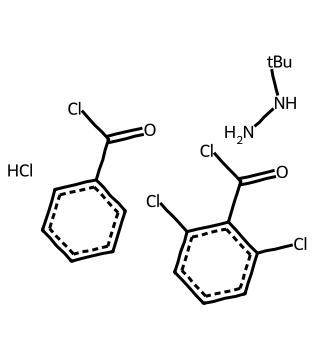 CC(C)(C)NN.Cl.O=C(Cl)c1c(Cl)cccc1Cl.O=C(Cl)c1ccccc1